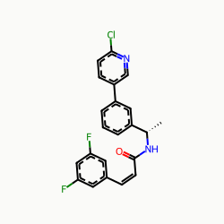 C[C@H](NC(=O)/C=C\c1cc(F)cc(F)c1)c1cccc(-c2ccc(Cl)nc2)c1